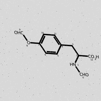 O=CNC(Cc1ccc(OC=O)cc1)C(=O)O